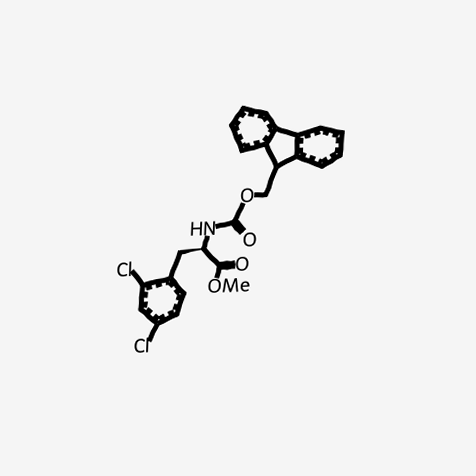 COC(=O)[C@@H](Cc1ccc(Cl)cc1Cl)NC(=O)OCC1c2ccccc2-c2ccccc21